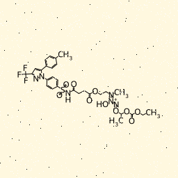 CCOC(=O)OC(C)O/N=[N+](\O)N(C)CCOC(=O)CCC(=O)NS(=O)(=O)c1ccc(-n2nc(C(F)(F)F)cc2-c2ccc(C)cc2)cc1